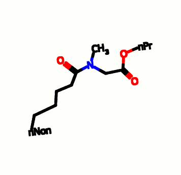 CCCCCCCCCCCCCC(=O)N(C)CC(=O)OCCC